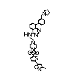 Cc1cc(-c2ccc(S(=O)(=O)N3CCN(C[C@H](C)Nc4ncnc5c(-c6cccc(CN7CCCC7)c6)cccc45)CC3)s2)on1